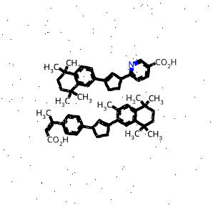 C/C(=C/C(=O)O)c1ccc(C2C=C(c3cc4c(cc3C)C(C)(C)CCC4(C)C)CC2)cc1.CC1(C)CCC(C)(C)c2cc(C3=CC(c4ccc(C(=O)O)cn4)CC3)ccc21